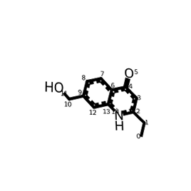 CCc1cc(=O)c2ccc(CO)cc2[nH]1